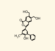 Cc1cc(-c2cc3cc(CO)c(CO)cc3c(=O)o2)cc(-c2ccccc2)c1O